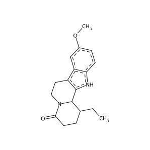 CCC1CCC(=O)N2CCc3c([nH]c4ccc(OC)cc34)C12